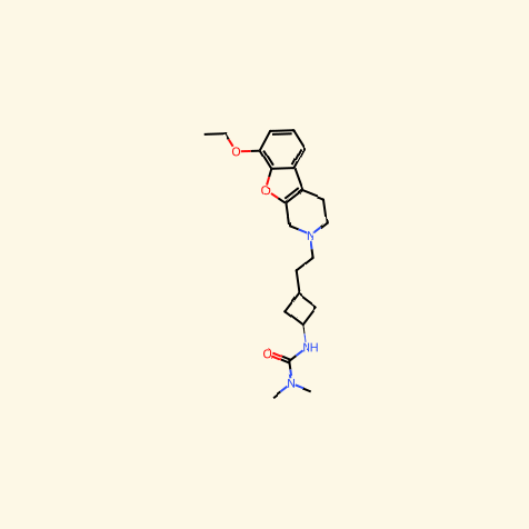 CCOc1cccc2c3c(oc12)CN(CCC1CC(NC(=O)N(C)C)C1)CC3